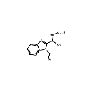 CC(C)Cn1c(C(NC(=O)O)C(C)(C)C)nc2ccccc21